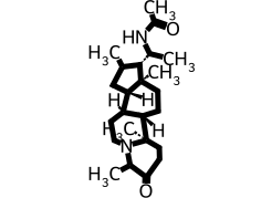 CC(=O)NC(C)[C@H]1C(C)C[C@H]2[C@@H]3CCN4C(C)C(=O)CC[C@]4(C)[C@H]3CC[C@]12C